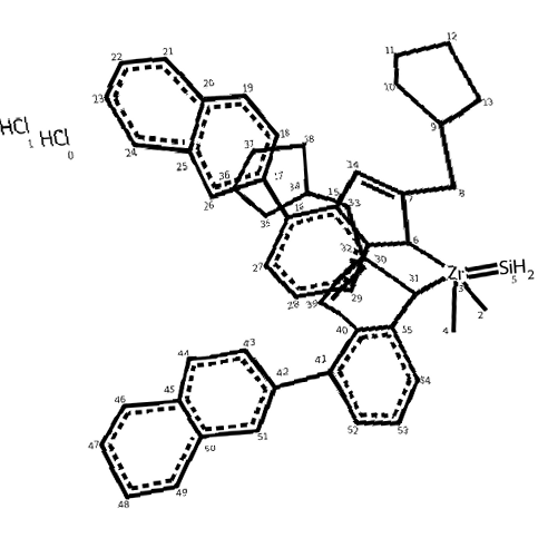 Cl.Cl.[CH3][Zr]([CH3])(=[SiH2])([CH]1C(CC2CCCC2)=Cc2c(-c3ccc4ccccc4c3)cccc21)[CH]1C(CC2CCCC2)=Cc2c(-c3ccc4ccccc4c3)cccc21